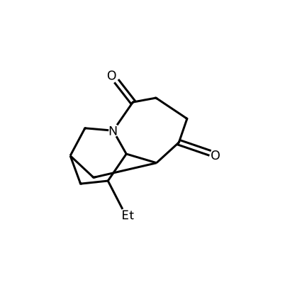 CCC1CC2CC3C(=O)CCC(=O)N(C2)C13